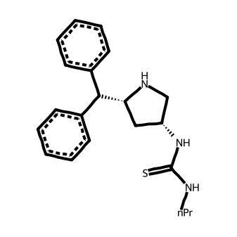 CCCNC(=S)N[C@H]1CN[C@@H](C(c2ccccc2)c2ccccc2)C1